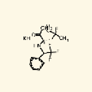 CC(C)(F)C[C@H](NC(c1ccccc1)C(F)(F)F)C(=O)O.[KH]